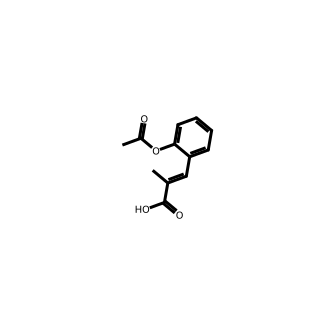 CC(=O)Oc1ccccc1C=C(C)C(=O)O